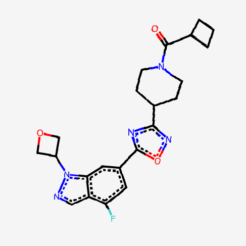 O=C(C1CCC1)N1CCC(c2noc(-c3cc(F)c4cnn(C5COC5)c4c3)n2)CC1